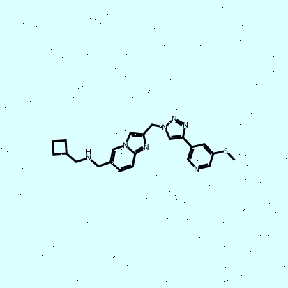 CSc1cncc(-c2cn(Cc3cn4cc(CNCC5CCC5)ccc4n3)nn2)c1